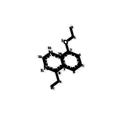 CCOc1cccc2c(CC)ncnc12